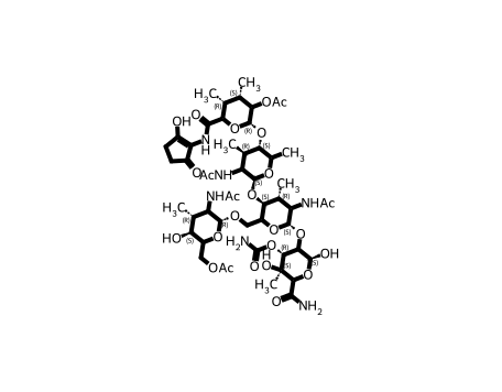 CC(=O)NC1[C@H](OCC2O[C@@H](OC3[C@@H](OC(N)=O)[C@](C)(O)C(C(N)=O)O[C@@H]3O)C(NC(C)=O)[C@@H](C)[C@@H]2O[C@@H]2OC(C)[C@@H](O[C@@H]3OC(C(=O)NC4=C(O)CCC4=O)[C@H](C)[C@H](C)C3OC(C)=O)[C@H](C)C2NC(C)=O)OC(COC(C)=O)[C@@H](O)[C@@H]1C